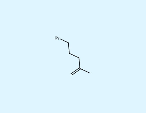 [CH2]C(=C)CCCC(C)C